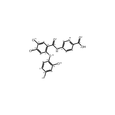 O=C(O)c1ccc(NC(=O)c2cc(Cl)c(Cl)cc2Oc2ccc(F)cc2Cl)cn1